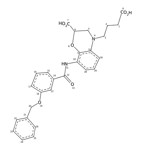 O=C(O)CCCN1CC(C(=O)O)Oc2c(NC(=O)c3cccc(OCc4ccccc4)c3)cccc21